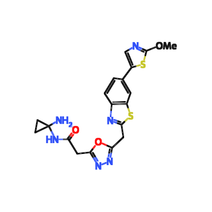 COc1ncc(-c2ccc3nc(Cc4nnc(CC(=O)NC5(N)CC5)o4)sc3c2)s1